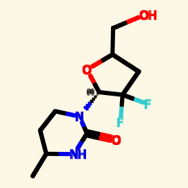 CC1CCN([C@@H]2OC(CO)CC2(F)F)C(=O)N1